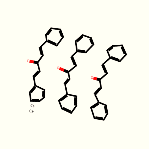 O=C(C=Cc1ccccc1)C=Cc1ccccc1.O=C(C=Cc1ccccc1)C=Cc1ccccc1.O=C(C=Cc1ccccc1)C=Cc1ccccc1.[Cs].[Cs]